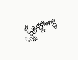 CCc1cc(C(=O)NCC2CN(C(=O)C3CCOCC3)C2)c2nccc(N3CCc4c(cc(Cn5ccnc5)cc4-c4cn(C)nc4C(F)(F)F)C3=O)c2c1